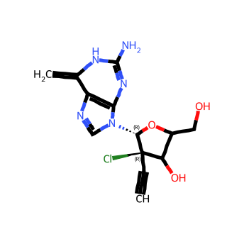 C#C[C@@]1(Cl)C(O)C(CO)O[C@H]1n1cnc2c1N=C(N)NC2=C